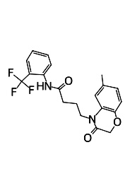 Cc1ccc2c(c1)N(CCCC(=O)Nc1ccccc1C(F)(F)F)C(=O)CO2